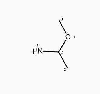 COC(C)[NH]